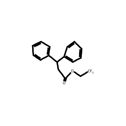 O=C(CC(c1ccccc1)c1ccccc1)OCC(F)(F)F